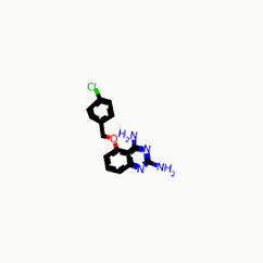 Nc1nc(N)c2c(OCc3ccc(Cl)cc3)cccc2n1